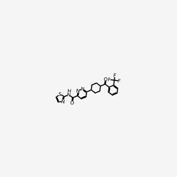 O=C(Nc1nccs1)c1ccc(C2CCC(C(=O)c3ccccc3C(F)(F)F)CC2)nn1